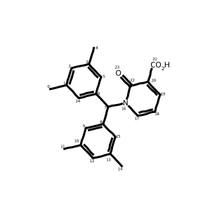 Cc1cc(C)cc(C(c2cc(C)cc(C)c2)n2cccc(C(=O)O)c2=O)c1